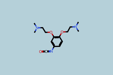 CN(C)CCOc1ccc(N=C=O)cc1OCCN(C)C